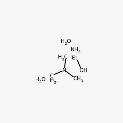 CCO.CN(C)C.N.O.O